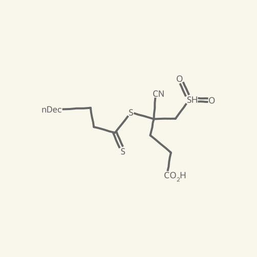 CCCCCCCCCCCCC(=S)SC(C#N)(CCC(=O)O)C[SH](=O)=O